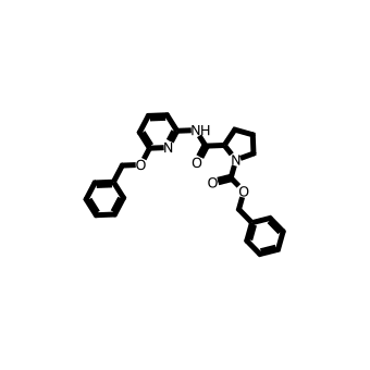 O=C(Nc1cccc(OCc2ccccc2)n1)C1CCCN1C(=O)OCc1ccccc1